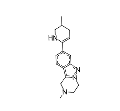 CC1CC=C(c2ccc3c4n(nc3c2)CCN(C)C4)NC1